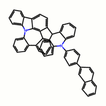 c1ccc(N(c2ccc(-c3ccc4ccccc4c3)cc2)c2ccccc2C2c3cccc4c3-c3c2ccc2c5ccccc5n(c32)-c2ccccc2-4)cc1